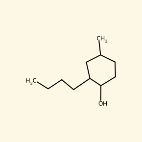 CCCCC1CC(C)CCC1O